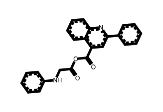 O=C(CNc1ccccc1)OC(=O)c1cc(-c2ccccc2)nc2ccccc12